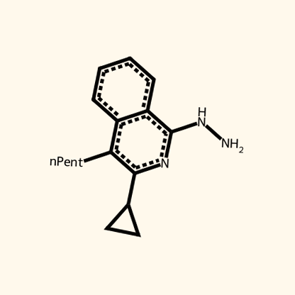 CCCCCc1c(C2CC2)nc(NN)c2ccccc12